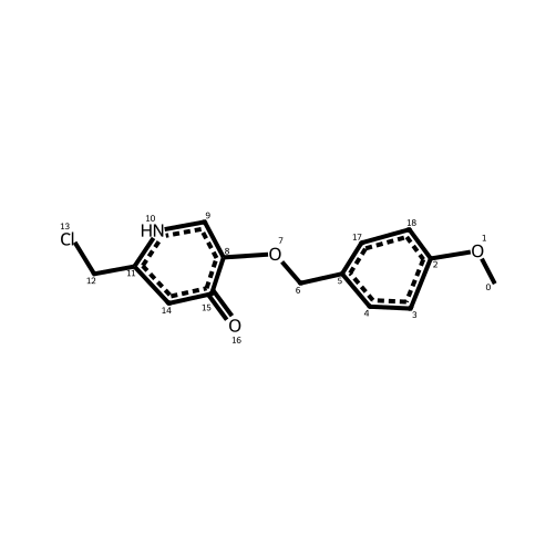 COc1ccc(COc2c[nH]c(CCl)cc2=O)cc1